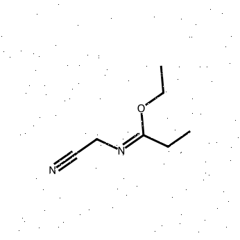 CCO/C(CC)=N\CC#N